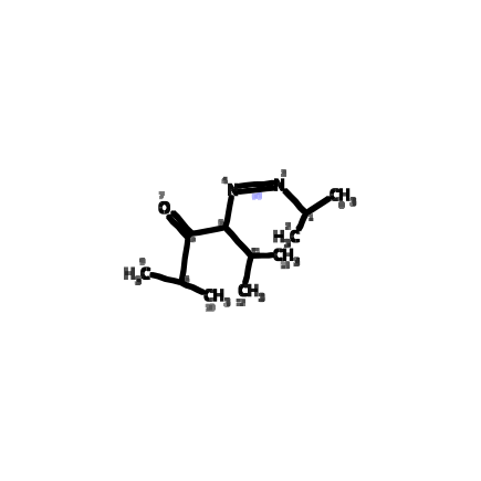 CC(C)/N=N\C(C(=O)C(C)C)C(C)C